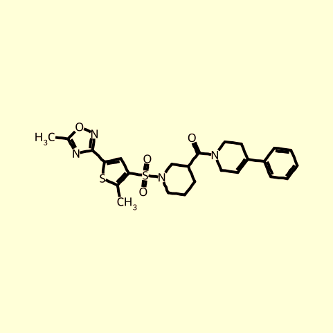 Cc1nc(-c2cc(S(=O)(=O)N3CCCC(C(=O)N4CC=C(c5ccccc5)CC4)C3)c(C)s2)no1